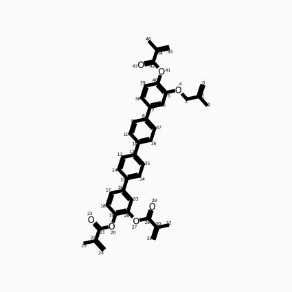 C=C(C)COc1cc(-c2ccc(-c3ccc(-c4ccc(OC(=O)C(=C)C)c(OC(=O)C(=C)C)c4)cc3)cc2)ccc1OC(=O)C(=C)C